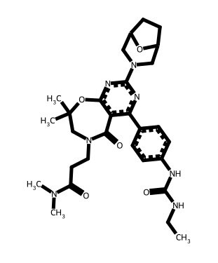 CCNC(=O)Nc1ccc(-c2nc(N3CC4CCC(C3)O4)nc3c2C(=O)N(CCC(=O)N(C)C)CC(C)(C)O3)cc1